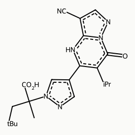 CC(C)c1c(-c2cnn(C(C)(CC(C)(C)C)C(=O)O)c2)[nH]c2c(C#N)cnn2c1=O